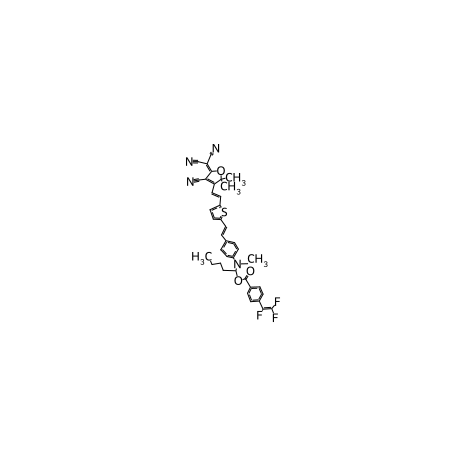 CCCCC(OC(=O)c1ccc(C(F)=C(F)F)cc1)N(CC)c1ccc(/C=C/c2ccc(/C=C/C3=C(C#N)C(=C(C#N)C#N)OC3(C)C)s2)cc1